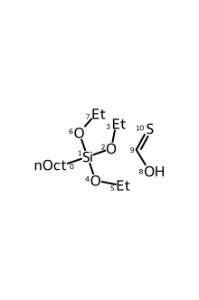 CCCCCCCC[Si](OCC)(OCC)OCC.OC=S